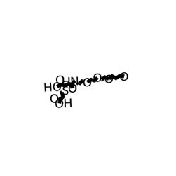 O=CCCOCCOCCOCCNC(=O)CC(SCCC(=O)O)C(=O)O